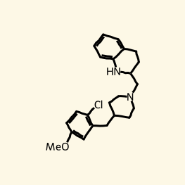 COc1ccc(Cl)c(CC2CCN(CC3CCc4ccccc4N3)CC2)c1